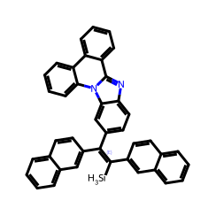 [SiH3]/C(=C(\c1ccc2ccccc2c1)c1ccc2nc3c4ccccc4c4ccccc4n3c2c1)c1ccc2ccccc2c1